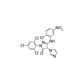 O=C1C(n2ccnc2)C(Nc2cc([N+](=O)[O-])ccc2Cl)=NN1c1c(Cl)cc(Cl)cc1Cl